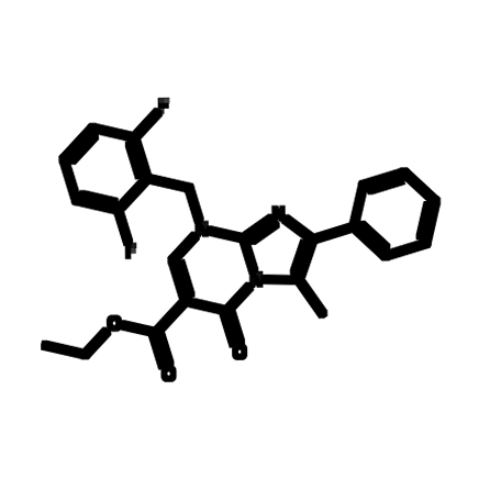 CCOC(=O)c1cn(Cc2c(F)cccc2F)c2nc(-c3ccccc3)c(C)n2c1=O